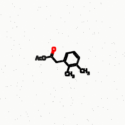 CC(=O)OC(=O)Cc1cccc(C)c1C